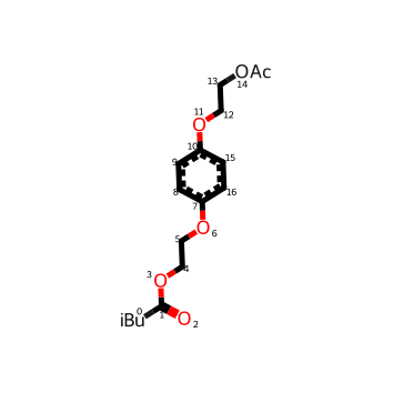 CCC(C)C(=O)OCCOc1ccc(OCCOC(C)=O)cc1